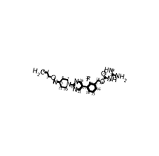 C=CCON=C1CCN(c2ncc(-c3cccc(COC(=O)NC(=N)N)c3F)cn2)CC1